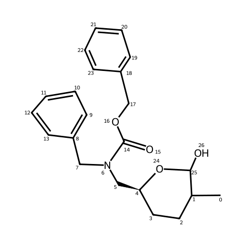 CC1CC[C@@H](CN(Cc2ccccc2)C(=O)OCc2ccccc2)OC1O